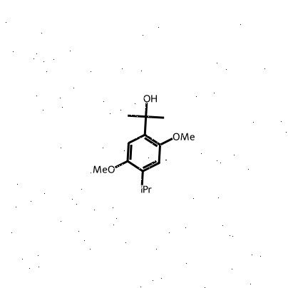 COc1cc(C(C)(C)O)c(OC)cc1C(C)C